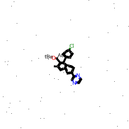 CC(=O)[C@@H](OC(C)(C)C)c1c(C)cc2cc(-c3cnccn3)ccc2c1-c1ccc(Cl)cc1